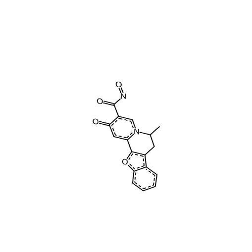 CC1Cc2c(oc3ccccc23)-c2cc(=O)c(C(=O)N=O)cn21